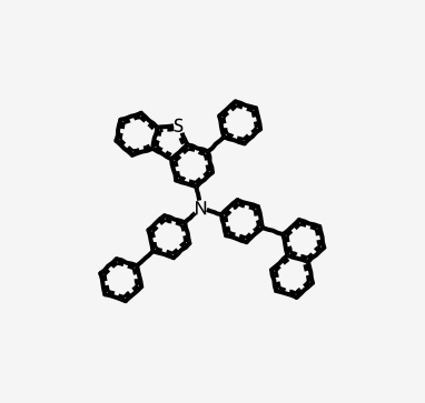 c1ccc(-c2ccc(N(c3ccc(-c4cccc5ccccc45)cc3)c3cc(-c4ccccc4)c4sc5ccccc5c4c3)cc2)cc1